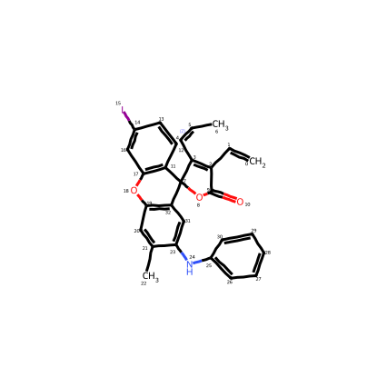 C=CC1=C(/C=C\C)C2(OC1=O)c1ccc(I)cc1Oc1cc(C)c(Nc3ccccc3)cc12